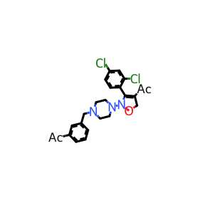 CC(=O)C1=C(c2ccc(Cl)cc2Cl)N(N2CCN(Cc3cccc(C(C)=O)c3)CC2)OC1